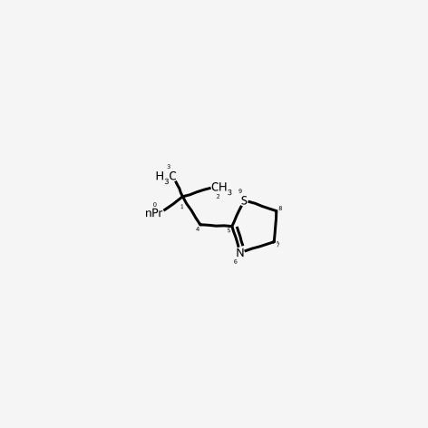 CCCC(C)(C)CC1=N[CH]CS1